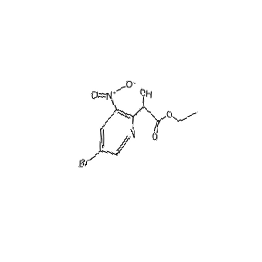 CCOC(=O)C(O)c1ncc(Br)cc1[N+](=O)[O-]